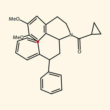 COc1cc2c(cc1OC)C(CC(c1ccccc1)c1ccccc1)N(C(=O)C1CC1)CC2